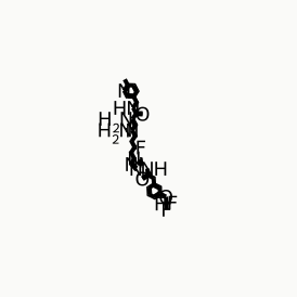 Cc1ccc(CNC(=O)/C(N)=C/N(N)CCC(F)Cn2cc(NC(=O)Cc3cccc(OC(F)(F)F)c3)nn2)cn1